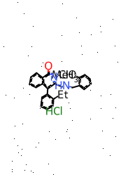 CCc1ccccc1-c1c(CNCc2ccccc2OC)n(C)c(=O)c2ccccc12.Cl